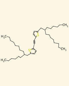 CCCCCCCCC(CCCCCC)Cc1ccc(C#Cc2ccc(CC(CCCCCC)CCCCCCCC)s2)s1